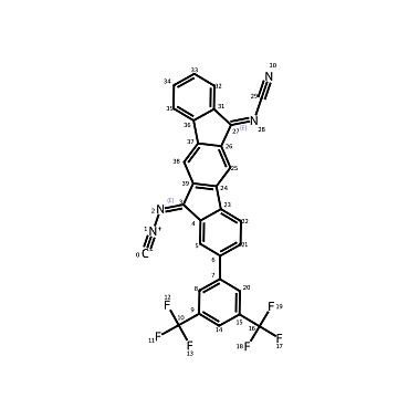 [C-]#[N+]/N=c1\c2cc(-c3cc(C(F)(F)F)cc(C(F)(F)F)c3)ccc2c2cc3/c(=N/C#N)c4ccccc4c3cc12